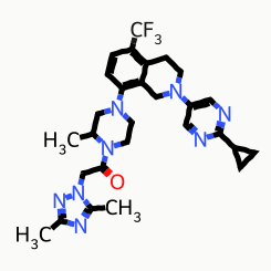 Cc1nc(C)n(CC(=O)N2CCN(c3ccc(C(F)(F)F)c4c3CN(c3cnc(C5CC5)nc3)CC4)CC2C)n1